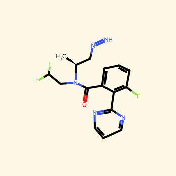 C[C@@H](CN=N)N(CC(F)F)C(=O)c1cccc(F)c1-c1ncccn1